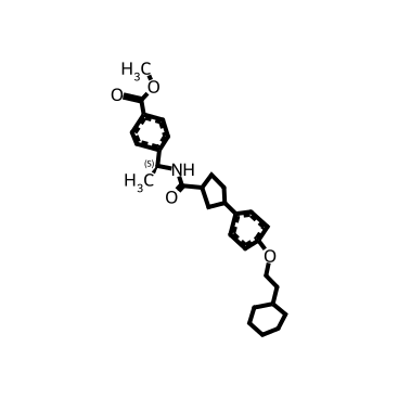 COC(=O)c1ccc([C@H](C)NC(=O)C2CCC(c3ccc(OCCC4CCCCC4)cc3)C2)cc1